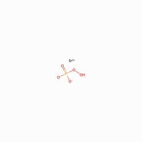 O=P([O-])([O-])OO.[Sr+2]